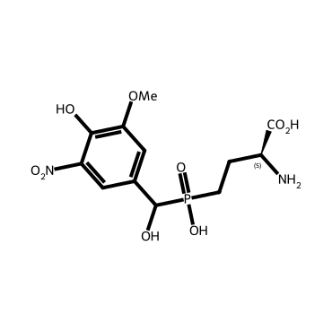 COc1cc(C(O)P(=O)(O)CC[C@H](N)C(=O)O)cc([N+](=O)[O-])c1O